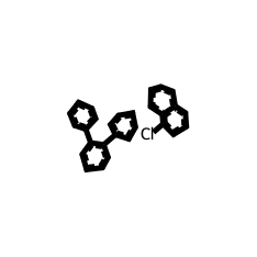 Clc1cccc2ccccc12.c1ccc(-c2ccccc2-c2ccccc2)cc1